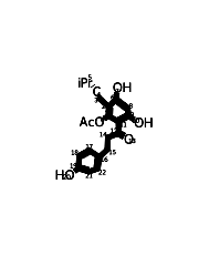 CC(=O)Oc1c(CCC(C)C)c(O)cc(O)c1C(=O)CCc1ccc(O)cc1